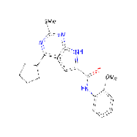 COc1ccccc1NC(=O)c1cc2c(C3CCCC3)nc(SC)nc2[nH]1